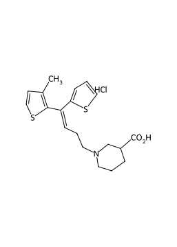 Cc1ccsc1C(=CCCN1CCCC(C(=O)O)C1)c1cccs1.Cl